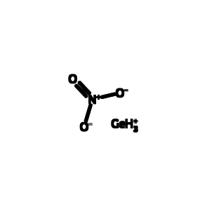 O=[N+]([O-])[O-].[GeH3+]